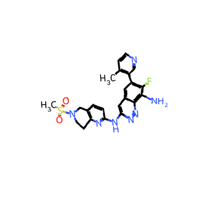 Cc1ccncc1-c1cc2cc(Nc3ccc4c(n3)CCN(S(C)(=O)=O)C4)nnc2c(N)c1F